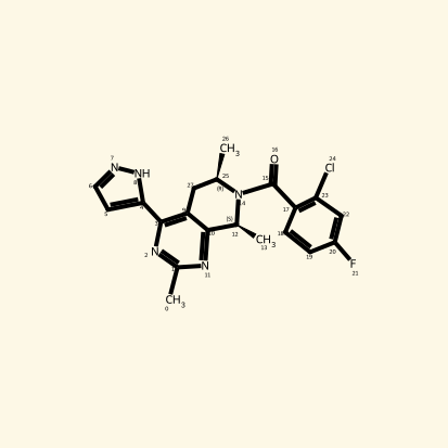 Cc1nc(-c2ccn[nH]2)c2c(n1)[C@H](C)N(C(=O)c1ccc(F)cc1Cl)[C@H](C)C2